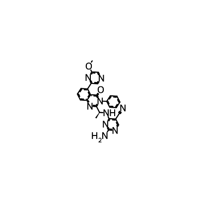 COc1cncc(-c2cccc3nc([C@H](C)Nc4nc(N)ncc4C#N)n(-c4ccccc4)c(=O)c23)n1